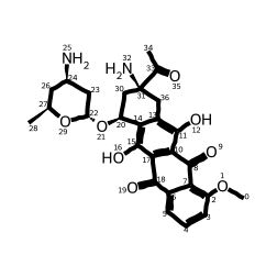 COc1cccc2c1C(=O)c1c(O)c3c(c(O)c1C2=O)[C@@H](O[C@H]1C[C@H](N)C[C@H](C)O1)C[C@](N)(C(C)=O)C3